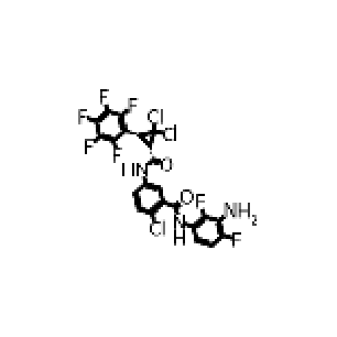 Nc1c(F)ccc(NC(=O)c2cc(NC(=O)[C@@H]3[C@@H](c4c(F)c(F)c(F)c(F)c4F)C3(Cl)Cl)ccc2Cl)c1F